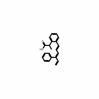 C=CC(=CC=Cc1ccccc1C(C)C(=O)O)c1ccccc1